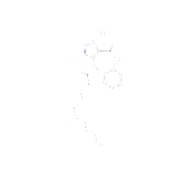 CCCCN(C)CCCCC(=O)N1c2ccccc2NC(=O)c2c1c(C)nn2C